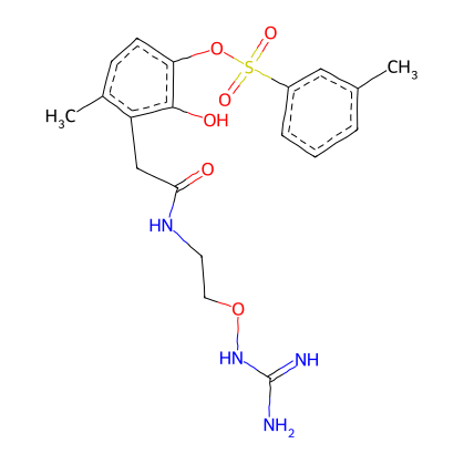 Cc1cccc(S(=O)(=O)Oc2ccc(C)c(CC(=O)NCCONC(=N)N)c2O)c1